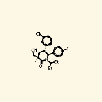 CCC(CC)N1C(=O)[C@@](C)(CC#N)C[C@H](c2cccc(Cl)c2)[C@H]1c1ccc(Cl)cc1